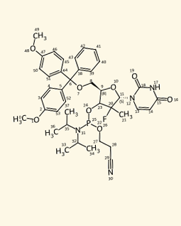 COc1ccc(C(OC[C@H]2O[C@H](n3ccc(=O)[nH]c3=O)C(C)(F)C2OP(OCCC#N)N(C(C)C)C(C)C)(c2ccccc2)c2ccc(OC)cc2)cc1